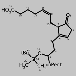 CCCCCC(CCC1=CCC(=O)[C@@H]1C/C=C\CCCC(=O)O)O[Si](C)(C)C(C)(C)C